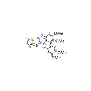 COc1cc2c(cc1OC)-c1c(OC)c(OC)cc3c1C(C2)N(Cc1cccs1)CC3